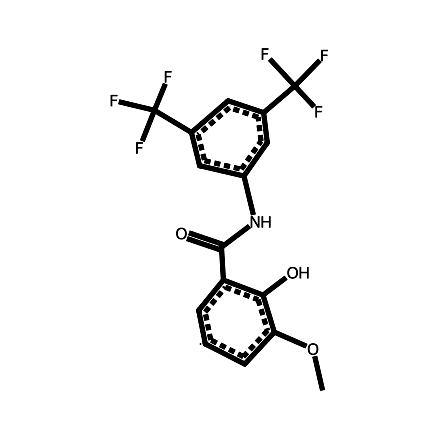 COc1c[c]cc(C(=O)Nc2cc(C(F)(F)F)cc(C(F)(F)F)c2)c1O